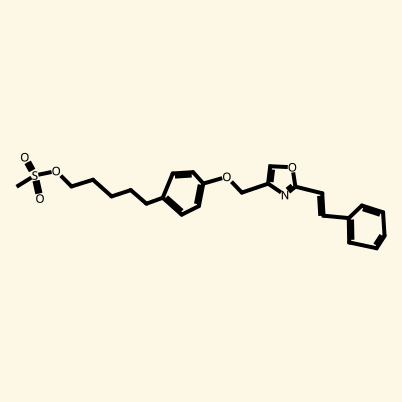 CS(=O)(=O)OCCCCCc1ccc(OCc2coc(C=Cc3ccccc3)n2)cc1